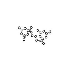 c1ccc(-c2cc(-c3ccccc3)cc(-c3cccc(-c4nc(-c5ccccc5)nc(-c5cccc(-c6cccc7c6c6cc(-c8cccc(-c9cccc(-c%10cccc(-c%11ccc%12c(c%11)c%11c(-c%13cccc(-c%14nc(-c%15ccccc%15)nc(-c%15cccc(-c%16cc(-c%17ccccc%17)cc(-c%17ccccc%17)c%16)c%15)n%14)c%13)cccc%11n%12-c%11ccccc%11)c%10)c9)c8)ccc6n7-c6ccccc6)c5)n4)c3)c2)cc1